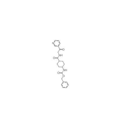 O=C(NC1CCC(C(=O)NCC(=O)c2cccnc2)CC1)OCc1ccccc1